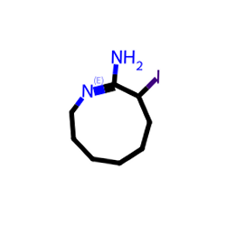 N/C1=N/CCCCCCC1I